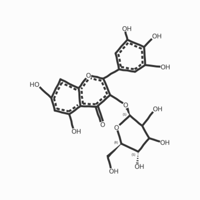 O=c1c(O[C@@H]2O[C@H](CO)[C@@H](O)C(O)C2O)c(-c2cc(O)c(O)c(O)c2)oc2cc(O)cc(O)c12